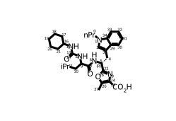 CCCn1cc(C[C@@H](NC(=O)C(CC(C)C)NC(=O)NC2CCCCC2)c2nc(C(=O)O)c(C)o2)c2ccccc21